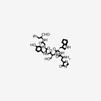 CC(C)C[C@@H]([C]=O)NC(=O)CNC(=O)[C@H](Cc1ccc(O)cc1)NC(=O)[C@H](CO)NC(=O)[C@H](Cc1c[nH]c2ccccc12)NC(=O)[C@@H](N)CC1=NC=NC1=O